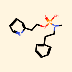 CN(CCc1ccccc1)P(=O)(O)OCCc1ccccn1